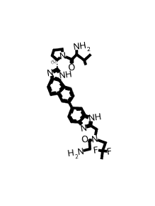 CC(C)C(N)C(=O)N1CCC[C@H]1c1nc2ccc3cc(-c4ccc5nc(CN(CC(C)(F)F)C(=O)CN)[nH]c5c4)ccc3c2[nH]1